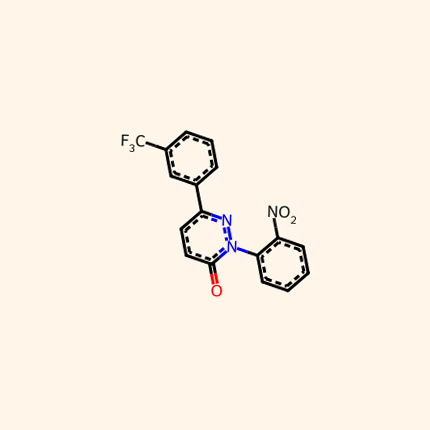 O=c1ccc(-c2cccc(C(F)(F)F)c2)nn1-c1ccccc1[N+](=O)[O-]